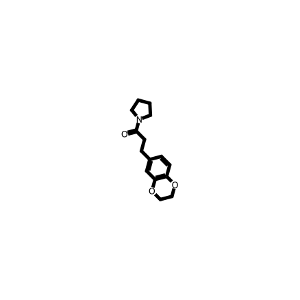 O=C(CCc1ccc2c(c1)OCCO2)N1CCCC1